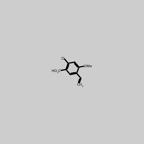 C=Cc1cc(C(=O)O)c(Cl)cc1OC